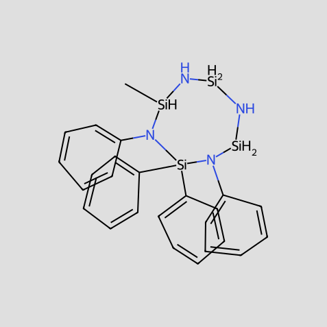 C[SiH]1N[SiH2]N[SiH2]N(c2ccccc2)[Si](c2ccccc2)(c2ccccc2)N1c1ccccc1